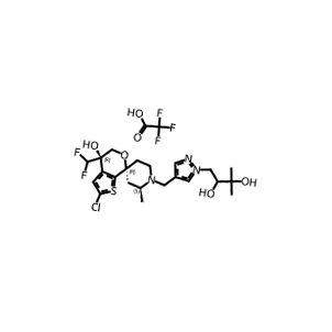 C[C@H]1C[C@@]2(CCN1Cc1cnn(CC(O)C(C)(C)O)c1)OC[C@@](O)(C(F)F)c1cc(Cl)sc12.O=C(O)C(F)(F)F